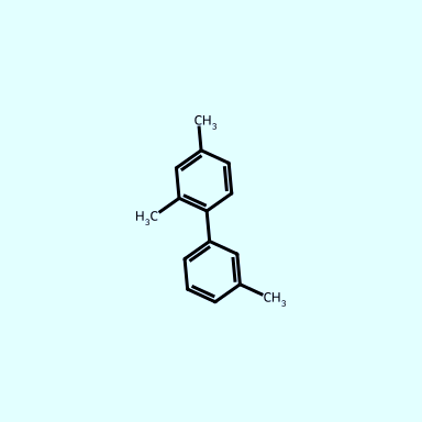 Cc1cccc(-c2ccc(C)cc2C)c1